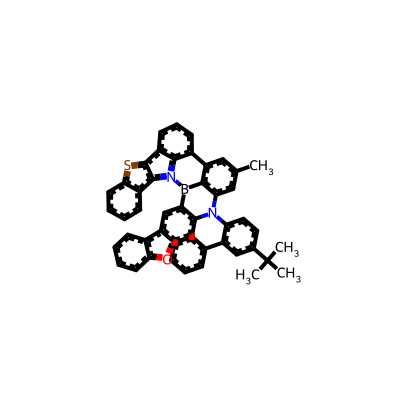 Cc1cc2c3c(c1)N(c1ccc(C(C)(C)C)cc1-c1ccccc1)c1cc4oc5ccccc5c4cc1B3n1c3c-2cccc3c2sc3ccccc3c21